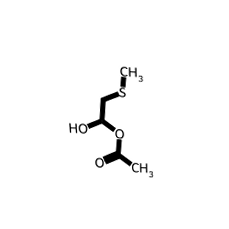 CSCC(O)OC(C)=O